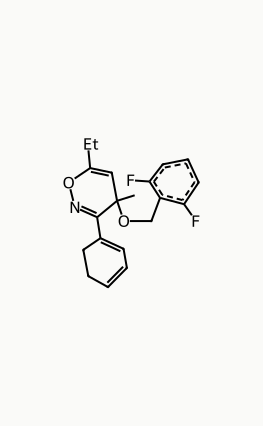 CCC1=CC(C)(OCc2c(F)cccc2F)C(C2=CC=CCC2)=NO1